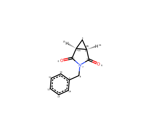 O=C1[C@H]2C[C@H]2C(=O)N1Cc1ccccc1